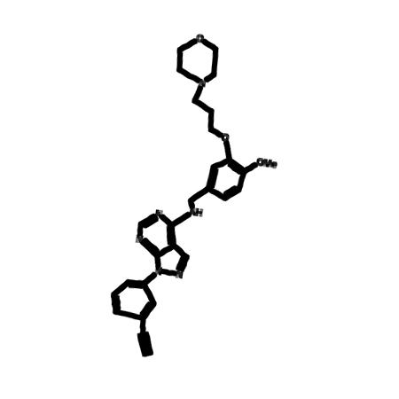 C#Cc1cccc(-n2ncc3c(NCc4ccc(OC)c(OCCCN5CCOCC5)c4)ncnc32)c1